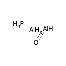 P.[AlH3].[O]=[AlH]